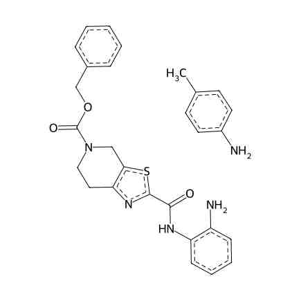 Cc1ccc(N)cc1.Nc1ccccc1NC(=O)c1nc2c(s1)CN(C(=O)OCc1ccccc1)CC2